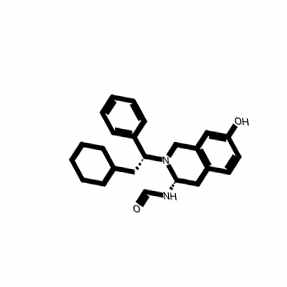 O=CN[C@H]1Cc2ccc(O)cc2CN1[C@H](CC1CCCCC1)c1ccccc1